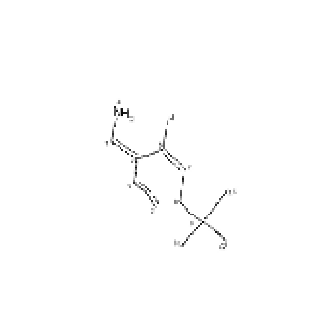 C=CC(=C/N)/C(C)=C\CC(C)(C)C